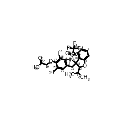 CC(C)C1Oc2ccccc2C1(Cc1cc(I)c(OCC(=O)O)c(I)c1)NS(=O)(=O)C(F)(F)F